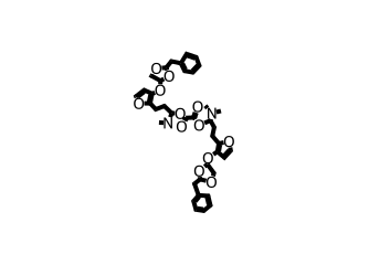 CN(C)C(CCc1occc1OC1COC(Cc2ccccc2)O1)OC(=O)C(=O)OC(CCc1occc1OC1COC(Cc2ccccc2)O1)N(C)C